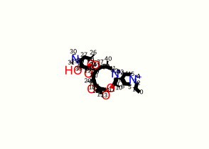 CCC[N+]1(C)CC=C([C@H]2[C@@H](C)OC(=O)C(C)(C)C(=O)[C@H](C)[C@@H](O[C@@H]3O[C@H](C)C[C@H](N(C)C)[C@H]3O)[C@](C)(OC)C[C@@H](C)CN2C)CC1